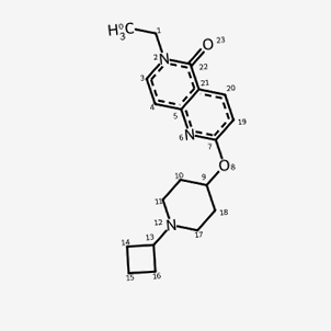 CCn1ccc2nc(OC3CCN(C4CCC4)CC3)ccc2c1=O